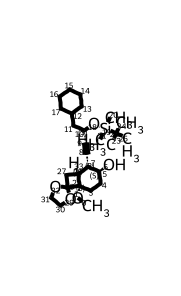 CO[C@@]12CC[C@H](O)[C@@H](C#C[C@H](CC3CCCCC3)O[Si](C)(C)C(C)(C)C)[C@@H]1CC21OCCO1